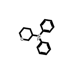 c1ccc([SiH](c2ccccc2)C2CCCOC2)cc1